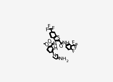 COc1ccc(N2CC[C@H](N)C2)cc1C(=O)Nc1c(C(=O)Nc2ccc(F)c(C(F)(F)F)c2)sc2cc(C(F)(F)F)ccc12